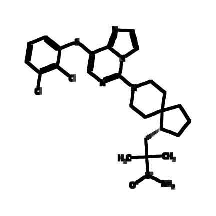 CC(C)(C[C@H]1CCCC12CCN(c1ncc(Sc3cccc(Cl)c3Cl)c3nccn13)CC2)[S+](N)[O-]